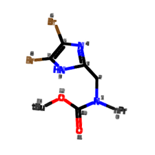 CCCN(Cc1nc(Br)c(Br)[nH]1)C(=O)OC(C)(C)C